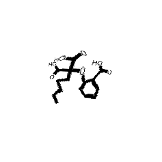 CCCCCC(Oc1ccccc1C(=O)O)(C(=O)O)C(=O)O